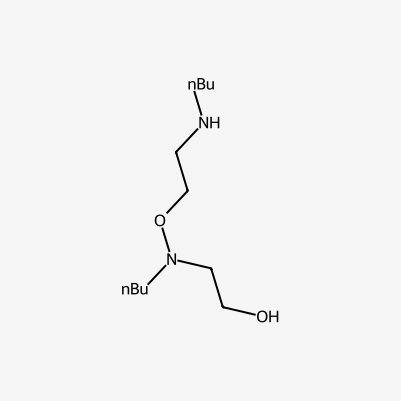 CCCCNCCON(CCO)CCCC